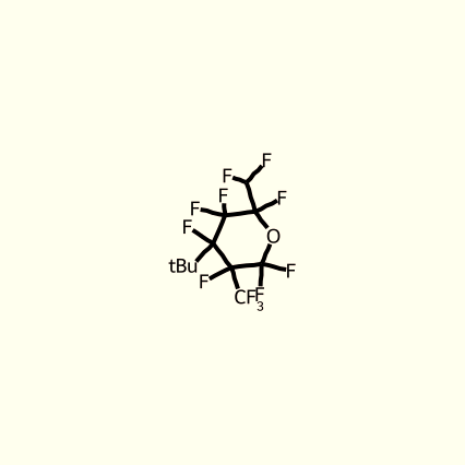 CC(C)(C)C1(F)C(F)(F)C(F)(C(F)F)OC(F)(F)C1(F)C(F)(F)F